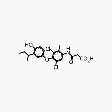 Cc1c(NC(=O)CC(=O)O)cc(Cl)c(Oc2ccc(O)c(C(C)CI)c2)c1Cl